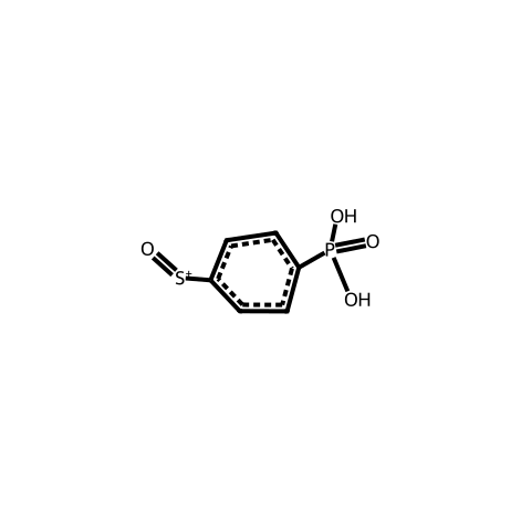 O=[S+]c1ccc(P(=O)(O)O)cc1